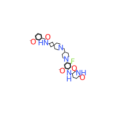 COc1cccc(C(=O)NC2CC3(CCN(CC4CCN(c5cc(OC)c(NC6CCC(=O)NC6=O)cc5F)CC4)CC3)C2)c1